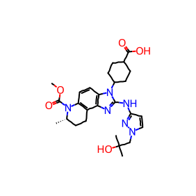 COC(=O)N1c2ccc3c(nc(Nc4ccn(CC(C)(C)O)n4)n3C3CCC(C(=O)O)CC3)c2CC[C@@H]1C